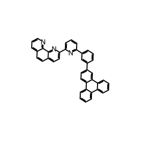 c1cc(-c2ccc3c4ccccc4c4ccccc4c3c2)cc(-c2cccc(-c3ccc4ccc5cccnc5c4n3)n2)c1